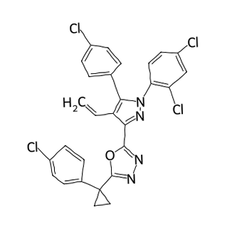 C=Cc1c(-c2nnc(C3(c4ccc(Cl)cc4)CC3)o2)nn(-c2ccc(Cl)cc2Cl)c1-c1ccc(Cl)cc1